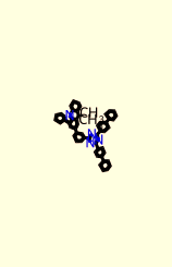 CC1(C)c2ccccc2-n2c3ccccc3c3cc(-c4cccc(-c5nc(-c6ccc(-c7ccccc7)cc6)nc(-c6ccc(-c7ccccc7)cc6)n5)c4)cc1c32